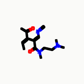 C=N/C=C(C(=O)N(C)CCN(C)C)\C(=C/C)C(C)=O